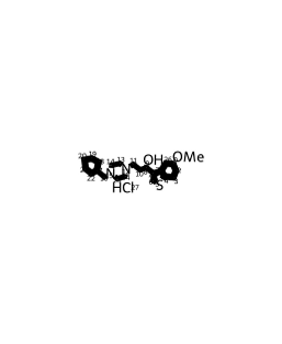 COc1ccc2scc(C(O)CCN3CCN(Cc4ccccc4)CC3)c2c1.Cl